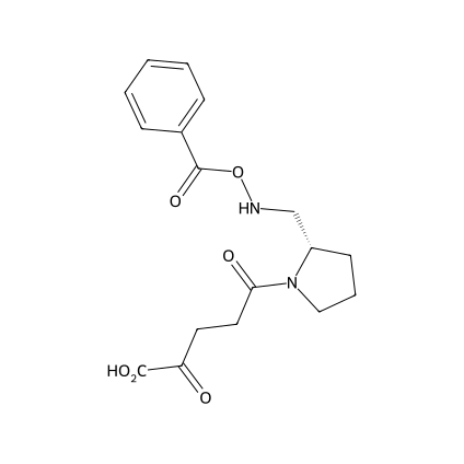 O=C(O)C(=O)CCC(=O)N1CCC[C@H]1CNOC(=O)c1ccccc1